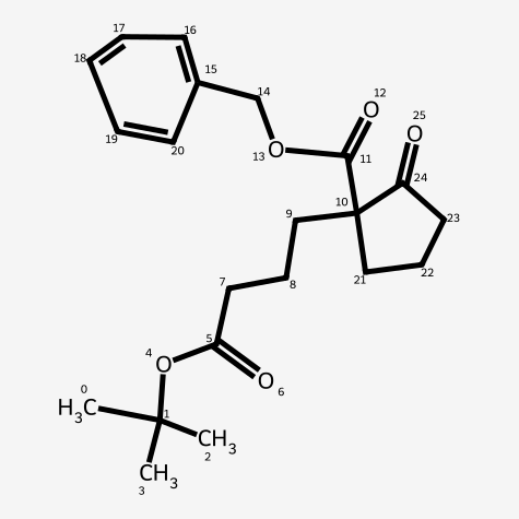 CC(C)(C)OC(=O)CCCC1(C(=O)OCc2ccccc2)CCCC1=O